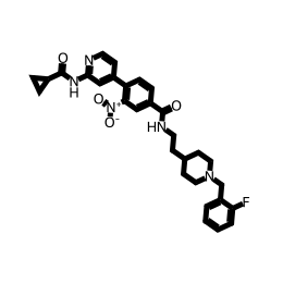 O=C(NCCC1CCN(Cc2ccccc2F)CC1)c1ccc(-c2ccnc(NC(=O)C3CC3)c2)c([N+](=O)[O-])c1